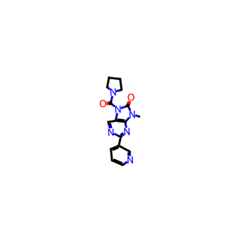 Cn1c(=O)n(C(=O)N2CCCC2)c2cnc(-c3cccnc3)nc21